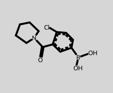 O=C(c1cc(B(O)O)ccc1Cl)N1CCCCC1